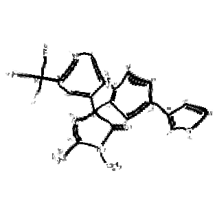 CN1C(=O)C(c2ccnc(C(F)(F)F)c2)(c2cc(-c3ccsc3)ccc2F)N=C1N